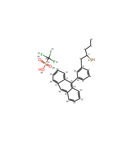 CCCC(S)Cc1cccc(-c2c3ccccc3cc3ccccc23)c1.O=S(=O)(O)C(F)(F)F